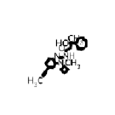 CC#Cc1ccc2nc(NC(=O)C[C@](C)(O)C3=CC=CCC#C3)n(C3(C)CCC3)c2c1